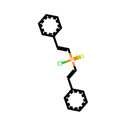 S=P(Cl)(C=Cc1ccccc1)C=Cc1ccccc1